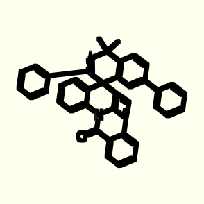 CC1(C)c2ccc(-c3ccccc3)cc2C2(c3ccccc3-n3c(=O)c4ccccc4c4cccc2c43)c2cc(-c3ccccc3)ccc21